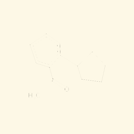 CC(=O)c1ccccc1C1CCCC1